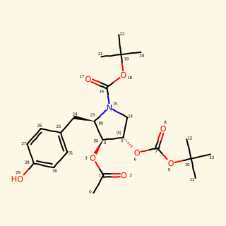 CC(=O)O[C@@H]1[C@@H](OC(=O)OC(C)(C)C)CN(C(=O)OC(C)(C)C)[C@@H]1Cc1ccc(O)cc1